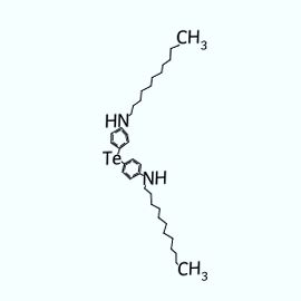 CCCCCCCCCCCCNc1ccc([Te]c2ccc(NCCCCCCCCCCCC)cc2)cc1